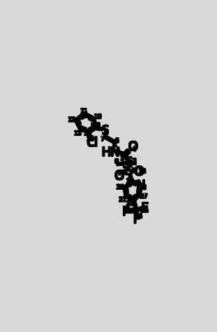 CC(C)(C(=O)NCCSc1ccccc1Cl)S(=O)(=O)c1ccc(C(F)(F)F)cn1